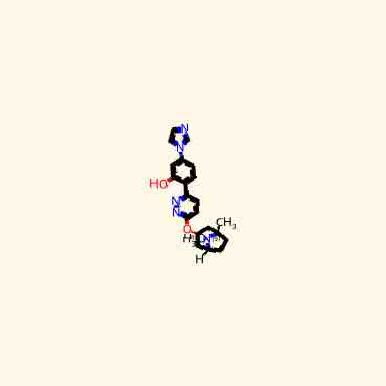 CN1[C@@H]2CC[C@@]1(C)C[C@H](Oc1ccc(-c3ccc(-n4ccnc4)cc3O)nn1)C2